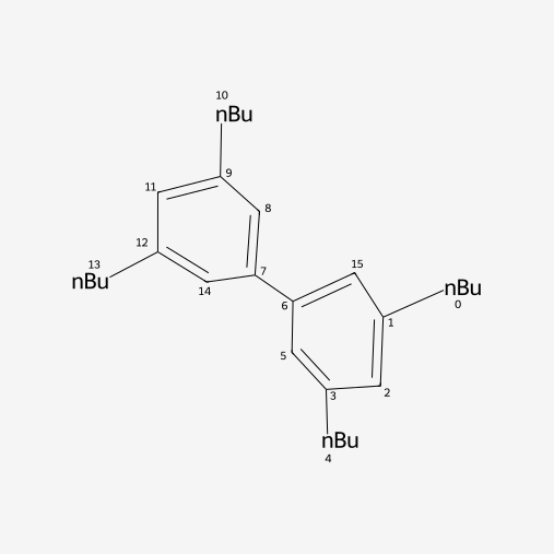 CCCCc1cc(CCCC)cc(-c2cc(CCCC)cc(CCCC)c2)c1